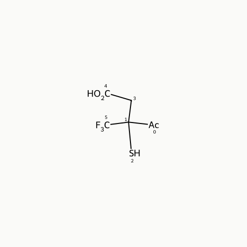 CC(=O)C(S)(CC(=O)O)C(F)(F)F